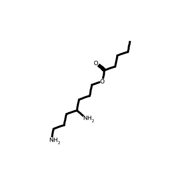 CCCCC(=O)OCCCC(N)CCCN